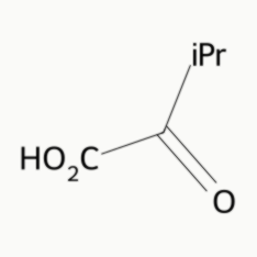 [CH2]C(C)C(=O)C(=O)O